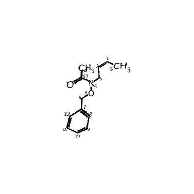 C/C=C\CN(OCc1ccccc1)C(C)=O